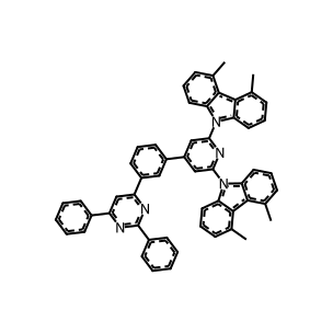 Cc1cccc2c1c1c(C)cccc1n2-c1cc(-c2cccc(-c3cc(-c4ccccc4)nc(-c4ccccc4)n3)c2)cc(-n2c3cccc(C)c3c3c(C)cccc32)n1